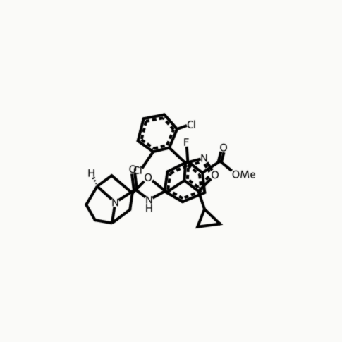 COC(=O)c1ccc(NC(=O)N2C3CC[C@H]2CC(OCc2c(-c4c(Cl)cccc4Cl)noc2C2CC2)C3)cc1F